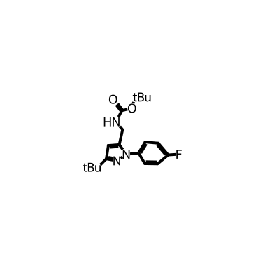 CC(C)(C)OC(=O)NCc1cc(C(C)(C)C)nn1-c1ccc(F)cc1